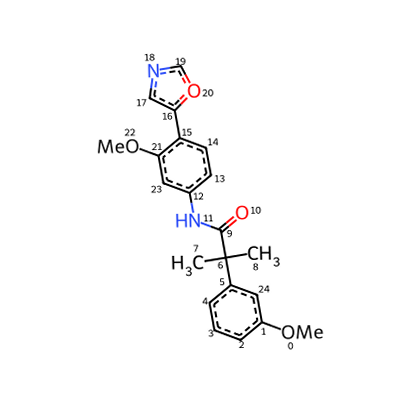 COc1cccc(C(C)(C)C(=O)Nc2ccc(-c3cnco3)c(OC)c2)c1